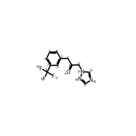 O=C(Cc1cccc(C(F)(F)F)c1)Cn1cncn1